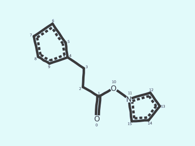 O=C(CCc1ccccc1)On1cccc1